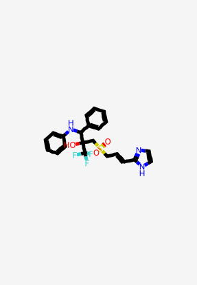 O=S(=O)(CC=Cc1ncc[nH]1)CC(O)(C(Nc1ccccc1)c1ccccc1)C(F)(F)F